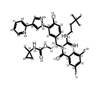 CC(C)(C)CCNC(=N)N(C(=O)c1cc(F)cc(F)c1)[C@H](COC(=O)NC1(C)CC1)c1ccc(Cl)c(-n2cc(-c3ccccn3)cn2)c1